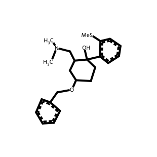 CSc1ccccc1C1(O)CCC(OCc2ccccc2)CC1CN(C)C